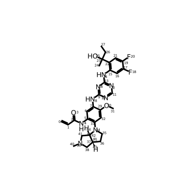 C=CC(=O)Nc1cc(Nc2ncnc(Nc3cc(F)c(F)cc3C(C)(O)CC)n2)c(OC)cc1N1CC[C@@H]2CN(C)C[C@@H]21